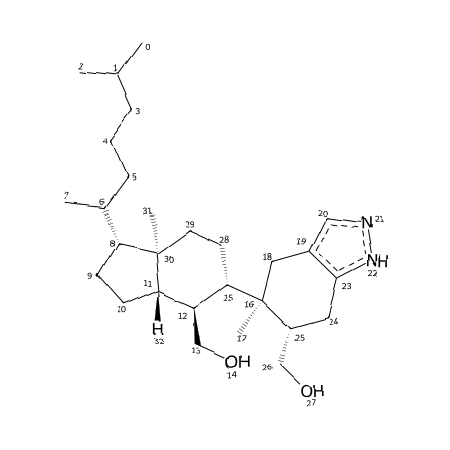 CC(C)CCCC(C)[C@H]1CC[C@H]2[C@H](CO)[C@@H]([C@@]3(C)Cc4cn[nH]c4C[C@@H]3CO)CC[C@]12C